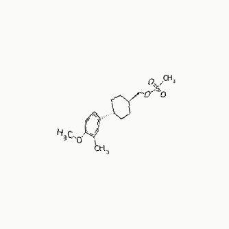 COc1ccc([C@H]2CC[C@H](COS(C)(=O)=O)CC2)cc1C